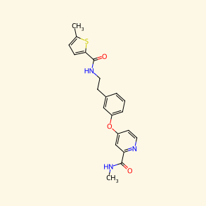 CNC(=O)c1cc(Oc2cccc(CCNC(=O)c3ccc(C)s3)c2)ccn1